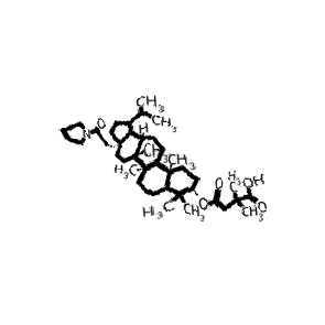 CC(C)C1CC[C@]2(CC(=O)N3CCCC3)CC[C@]3(C)[C@H](CCC4[C@@]5(C)CC[C@H](OC(=O)CC(C)(C)C(=O)O)C(C)(C)C5CC[C@]43C)C12